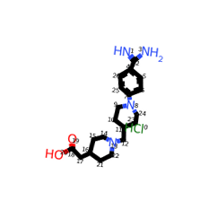 Cl.N=C(N)c1ccc(N2CCC(CN3CCC(CC(=O)O)CC3)CC2)cc1